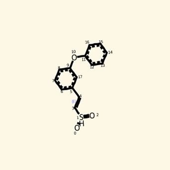 O=[SH](=O)/C=C/c1cccc(Oc2ccccc2)c1